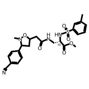 COC(=O)[C@H](CNC(=O)CC1CC(c2ccc(C#N)cc2)N(C)O1)NS(=O)(=O)c1cccc(C)c1